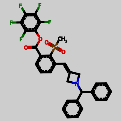 CS(=O)(=O)c1c(C=C2CN(C(c3ccccc3)c3ccccc3)C2)cccc1C(=O)Oc1c(F)c(F)c(F)c(F)c1F